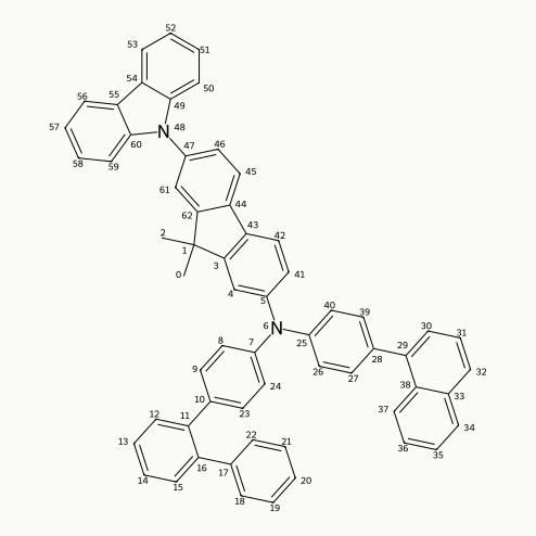 CC1(C)c2cc(N(c3ccc(-c4ccccc4-c4ccccc4)cc3)c3ccc(-c4cccc5ccccc45)cc3)ccc2-c2ccc(-n3c4ccccc4c4ccccc43)cc21